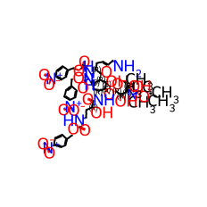 CN(C(=O)OC(C)(C)C)[C@@H]1[C@@H](O)[C@@H](O[C@@H]2[C@@H](O)[C@H](C3OC(CN)=CC[C@H]3NC(=O)OCc3ccc([N+](=O)[O-])cc3)[C@@H](NC(=O)OCc3ccc([N+](=O)[O-])cc3)C[C@H]2NC(=O)[C@H](O)CCNC(=O)OCc2ccc([N+](=O)[O-])cc2)OC[C@]1(C)O